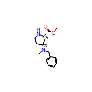 COC(=O)[C@@H]1C[C@H](N(C)Cc2ccccc2)CCN1